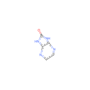 O=c1[nH]c2n[c]cnc2[nH]1